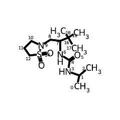 CC(C)NC(=O)NC(CN1CCCS1(=O)=O)C(C)(C)C